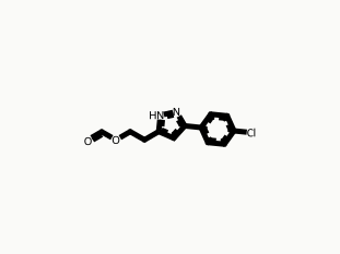 O=COCCc1cc(-c2ccc(Cl)cc2)n[nH]1